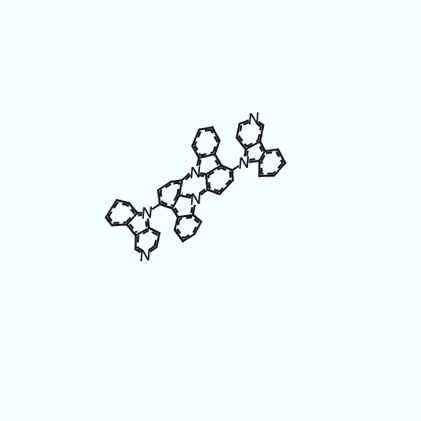 c1ccc2c(c1)c1cnccc1n2-c1ccc2c3c1c1ccccc1n3c1ccc(-n3c4ccccc4c4cnccc43)c3c4ccccc4n2c31